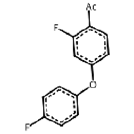 CC(=O)c1ccc(Oc2ccc(F)cc2)cc1F